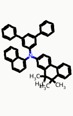 CC1(C)c2ccccc2-c2ccc(N(c3cc(-c4ccccc4)cc(-c4ccccc4)c3)c3cccc4ccccc34)cc2C1(C)C